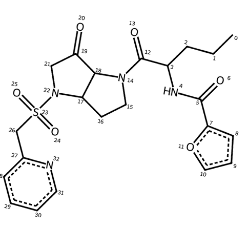 CCCC(NC(=O)c1ccco1)C(=O)N1CCC2C1C(=O)CN2S(=O)(=O)Cc1ccccn1